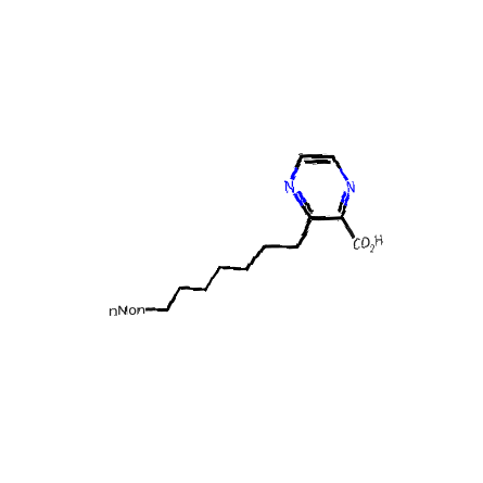 CCCCCCCCCCCCCCCCc1nccnc1C(=O)O